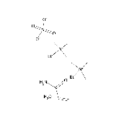 C=CC(N)=O.CC[N+](C)(C)C.CC[N+](C)(C)C.O.O=S(=O)([O-])[O-]